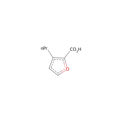 CCCc1ccoc1C(=O)O